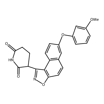 COc1cccc(Oc2ccc3c(ccc4onc(C5CCC(=O)NC5=O)c43)c2)c1